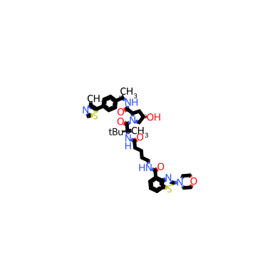 Cc1ncsc1-c1ccc([C@H](C)NC(=O)C2C[C@@H](O)CN2C(=O)[C@](C)(NC(=O)CCCCNC(=O)c2cccc3sc(N4CCOCC4)nc23)C(C)(C)C)cc1